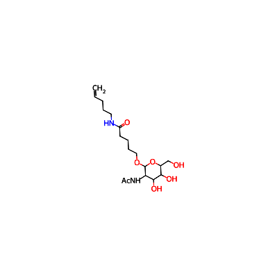 C=CCCCNC(=O)CCCCOC1OC(CO)C(O)C(O)C1NC(C)=O